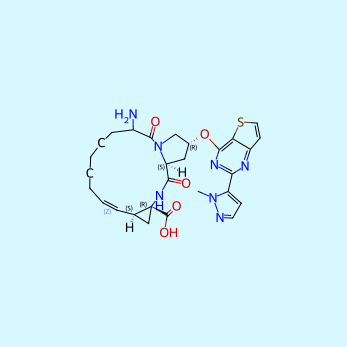 Cn1nccc1-c1nc(O[C@@H]2C[C@H]3C(=O)N[C@]4(C(=O)O)C[C@H]4/C=C\CCCCCC(N)C(=O)N3C2)c2sccc2n1